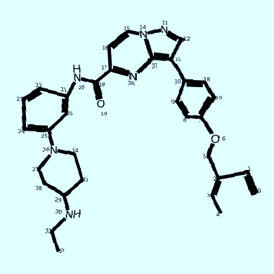 C=C/C(=C\C)COc1ccc(-c2cnn3ccc(C(=O)Nc4cccc(N5CCC(NCC)CC5)c4)nc23)cc1